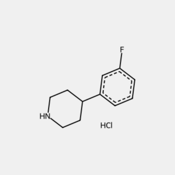 Cl.Fc1cccc(C2CCNCC2)c1